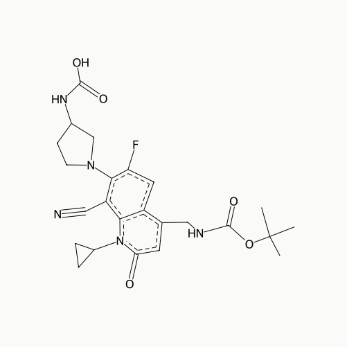 CC(C)(C)OC(=O)NCc1cc(=O)n(C2CC2)c2c(C#N)c(N3CCC(NC(=O)O)C3)c(F)cc12